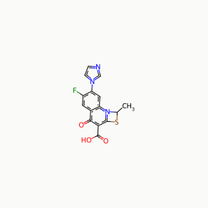 CC1Sc2c(C(=O)O)c(=O)c3cc(F)c(-n4ccnc4)cc3n21